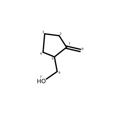 C=C1CCCC1CO